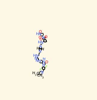 CC1(C)CCN(Cc2cc(F)c(N3CC(=O)NC4(CCN(c5cc(NCCCN6C[C@@H]7CN(CCNc8cccc9c8C(=O)N(C8CCC(=O)NC8=O)C9=O)C[C@@H]7C6)ncn5)CC4)C3)cc2F)CC1